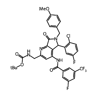 COc1ccc(CN2C(=O)c3nc(CNC(=O)OC(C)(C)C)cc(NC(=O)c4cc(F)cc(C(F)(F)F)c4)c3C2c2cc(F)ccc2Cl)cc1